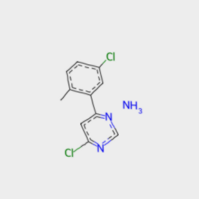 Cc1ccc(Cl)cc1-c1cc(Cl)ncn1.N